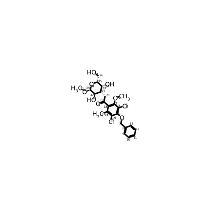 COc1c(Cl)c(OCc2ccccc2)c(Cl)c(C)c1C(=O)C[C@H]1[C@@H](O)[C@@H](CO)O[C@H](OC)[C@@H]1O